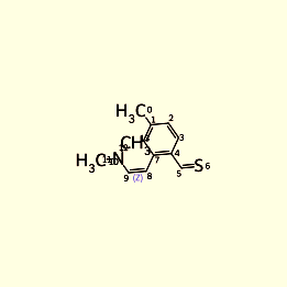 Cc1ccc(C=S)c(/C=C\N(C)C)c1